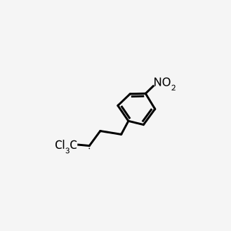 O=[N+]([O-])c1ccc(CC[CH]C(Cl)(Cl)Cl)cc1